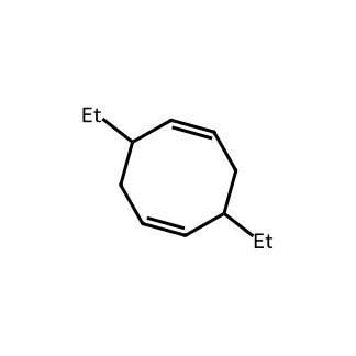 CCC1/C=C\CC(CC)/C=C\C1